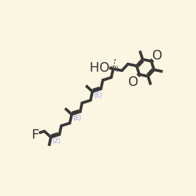 CC1=C(C)C(=O)C(CC[C@](C)(O)CC/C=C(\C)CC/C=C(\C)CC/C=C(/C)CF)=C(C)C1=O